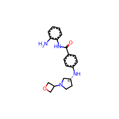 Nc1ccccc1NC(=O)c1ccc(N[C@@H]2CCN(C3COC3)C2)cc1